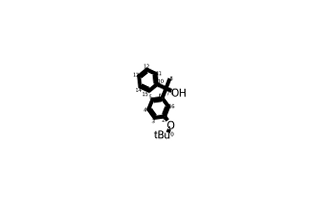 CC(C)(C)Oc1cccc(C(C)(O)c2ccccc2)c1